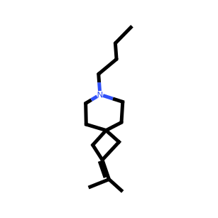 CCCCN1CCC2(CC1)CC(=C(C)C)C2